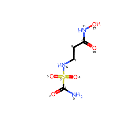 NC(=O)S(=O)(=O)NC[CH]C(=O)NO